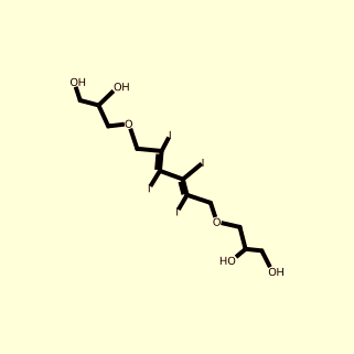 OCC(O)COCC(I)=C(I)C(I)=C(I)COCC(O)CO